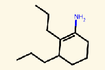 CCCC1=C(N)CCCC1CCC